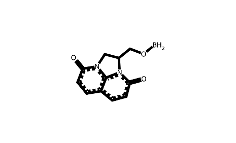 BOCC1Cn2c(=O)ccc3ccc(=O)n1c32